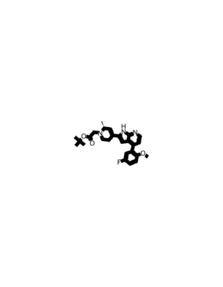 COc1ccc(F)cc1-c1ccnc2[nH]c(C3=C[C@@H](C)N(CC(=O)OC(C)(C)C)CC3)cc12